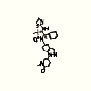 Cn1cc(-n2ncc3cc(N4C(=O)C(C)(C)[C@H](Nc5nccs5)[C@H]4c4ccccc4)ccc32)ccc1=O